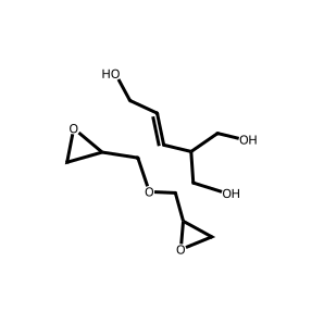 C(OCC1CO1)C1CO1.OCC=CC(CO)CO